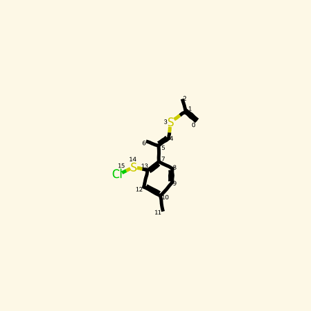 C=C(C)S/C=C(\C)c1ccc(C)cc1SCl